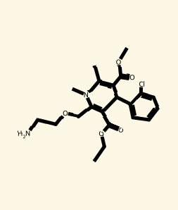 CCOC(=O)C1=C(COCCN)N(C)C(C)=C(C(=O)OC)C1c1ccccc1Cl